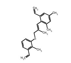 C=Cc1cccc(SC/C(C)=C/c2c(C)cc(C)cc2C=C)c1C